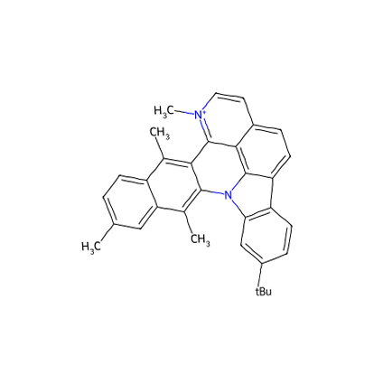 Cc1ccc2c(C)c3c(c(C)c2c1)n1c2cc(C(C)(C)C)ccc2c2ccc4cc[n+](C)c3c4c21